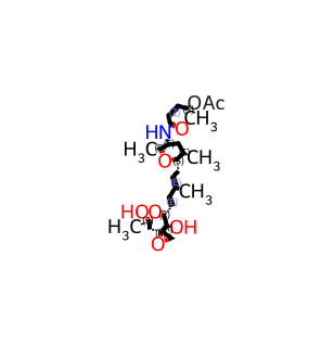 CC(=O)O[C@@H](C)/C=C\C(=O)N[C@H]1C[C@H](C)[C@H](C/C=C(C)/C=C/[C@H]2O[C@](C)(O)C[C@@]3(CO3)[C@@H]2O)O[C@@H]1C